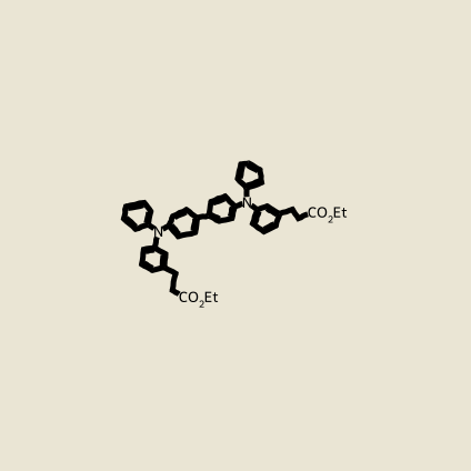 CCOC(=O)CCc1cccc(N(c2ccccc2)c2ccc(-c3ccc(N(c4ccccc4)c4cccc(CCC(=O)OCC)c4)cc3)cc2)c1